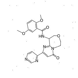 COc1ccc(OC)c(C(=O)NC2COCCn3c2nc(-c2ccncn2)cc3=O)c1